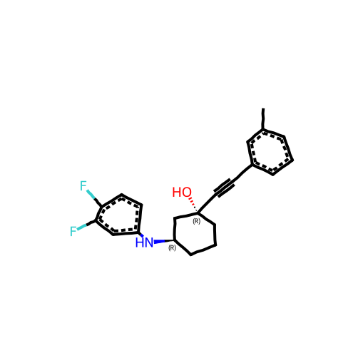 Cc1cccc(C#C[C@@]2(O)CCC[C@@H](Nc3ccc(F)c(F)c3)C2)c1